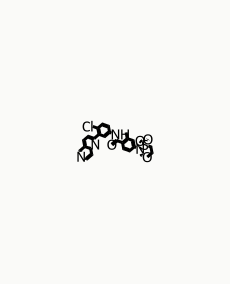 Cc1cc(N2COCCS2(=O)=O)ccc1C(=O)Nc1ccc(Cl)c(-c2ccc3cnccc3n2)c1